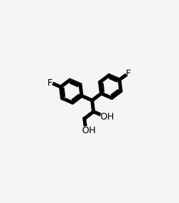 OCC(O)C(c1ccc(F)cc1)c1ccc(F)cc1